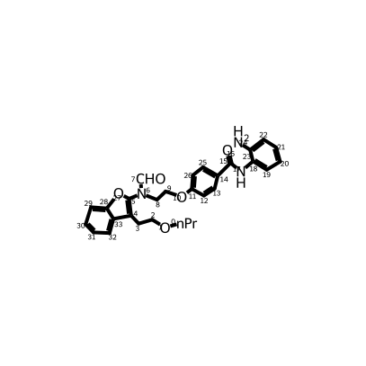 CCCOCCc1c(N(C=O)CCOc2ccc(C(=O)Nc3ccccc3N)cc2)oc2ccccc12